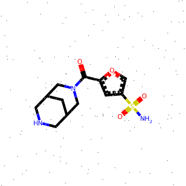 NS(=O)(=O)c1coc(C(=O)N2CC3CNCC(C3)C2)c1